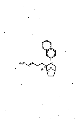 CON=CCC[C@@H]1[C@@H]2CCC(C[C@H]1c1ccc3ccccc3c1)O2